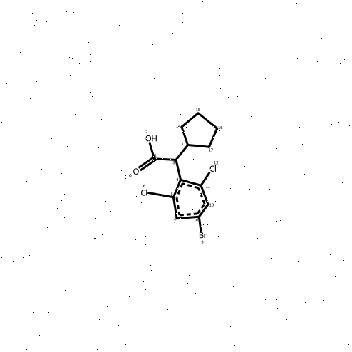 O=C(O)C(c1c(Cl)cc(Br)cc1Cl)C1CCCC1